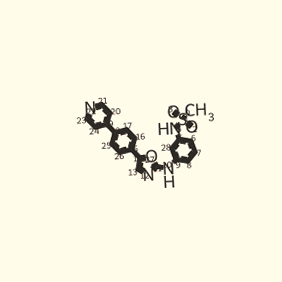 CS(=O)(=O)Nc1cccc(Nc2ncc(-c3ccc(-c4ccncc4)cc3)o2)c1